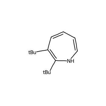 CC(C)(C)C1=C(C(C)(C)C)NC=CC=C1